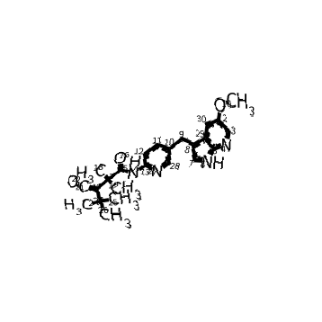 COc1cnc2[nH]cc(Cc3ccc(NC(=O)C(C)(C)C(=C=O)C(C)(C)C)nc3)c2c1